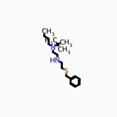 CCCCN(CCNCCSCc1ccccc1)C(C)(C)C